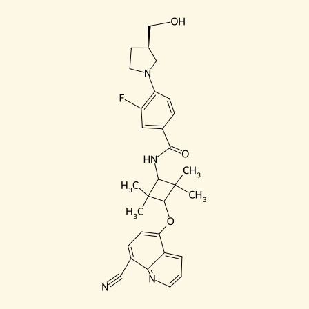 CC1(C)C(NC(=O)c2ccc(N3CC[C@@H](CO)C3)c(F)c2)C(C)(C)C1Oc1ccc(C#N)c2ncccc12